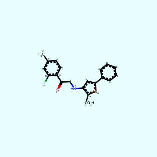 O=C(CNc1cc(-c2ccccc2)sc1C(=O)O)c1ccc(C(F)(F)F)cc1F